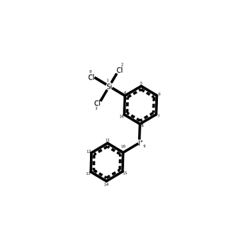 Cl[Si](Cl)(Cl)c1cccc([I+]c2ccccc2)c1